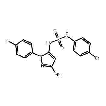 CCc1ccc(NS(=O)(=O)Nc2cc(C(C)(C)C)nn2-c2ccc(F)cc2)cc1